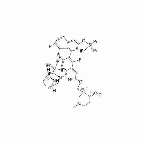 CC(C)[Si](C#Cc1c(F)ccc2cc(O[Si](C(C)C)(C(C)C)C(C)C)cc(-c3c(F)cc4c(N5C[C@H]6CC[C@@H](C5)N6)nc(OC[C@]5(C)CN(C)CC/C5=C\F)nc4c3F)c12)(C(C)C)C(C)C